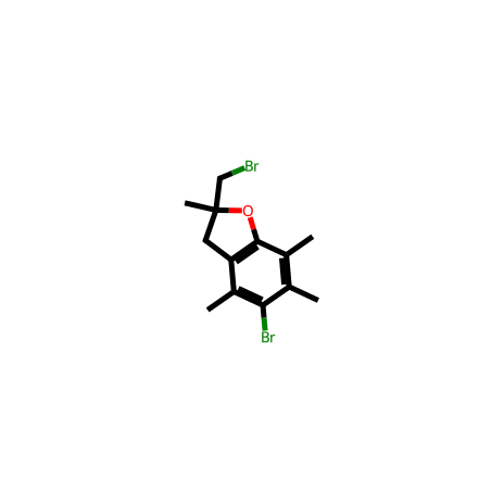 Cc1c(C)c2c(c(C)c1Br)CC(C)(CBr)O2